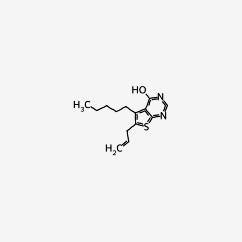 C=CCc1sc2ncnc(O)c2c1CCCCC